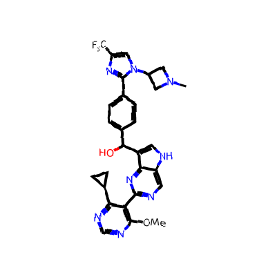 COc1ncnc(C2CC2)c1-c1ncc2[nH]cc(C(O)c3ccc(-c4nc(C(F)(F)F)cn4C4CN(C)C4)cc3)c2n1